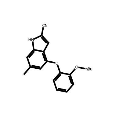 CCCCOc1ccccc1Oc1cc(C)cc2[nH]c(C#N)cc12